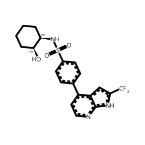 O=S(=O)(N[C@@H]1CCCC[C@@H]1O)c1ccc(-c2ccnc3[nH]c(C(F)(F)F)cc23)cc1